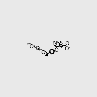 CCOCCOCCOCC1(c2ccc(OC3=CN(C)Cc4sc(C(=O)OC)cc43)cc2)CC1